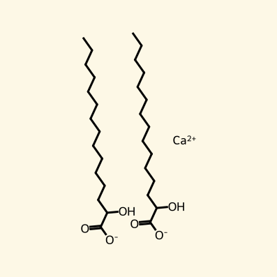 CCCCCCCCCCCCCC(O)C(=O)[O-].CCCCCCCCCCCCCC(O)C(=O)[O-].[Ca+2]